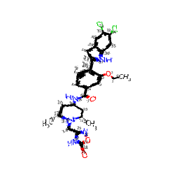 CCOc1cc(C(=O)NC2C[C@@H](C)N(Cc3noc(=O)[nH]3)[C@@H](C)C2)ccc1-c1cc2cc(Cl)c(Cl)cc2[nH]1